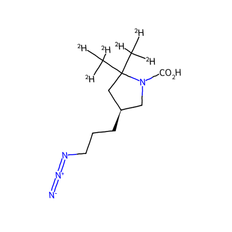 [2H]C([2H])([2H])C1(C([2H])([2H])[2H])C[C@H](CCCN=[N+]=[N-])CN1C(=O)O